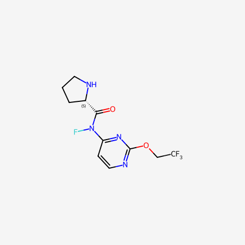 O=C([C@@H]1CCCN1)N(F)c1ccnc(OCC(F)(F)F)n1